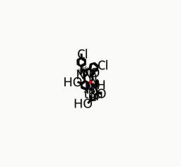 CC(C)(C)c1cc(O)c(C2=N[C@@](C)(c3ccc(Cl)cc3)[C@@](C)(c3ccc(Cl)cc3)N2C(=O)N2C[C@@H]3C(C(=O)N4CC(O)C4)[C@@H]3C2)cn1